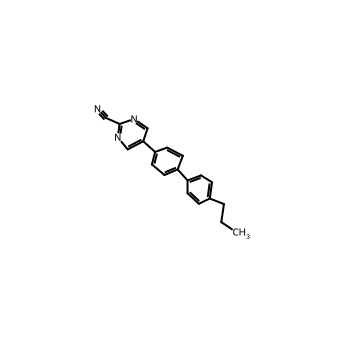 CCCc1ccc(-c2ccc(-c3cnc(C#N)nc3)cc2)cc1